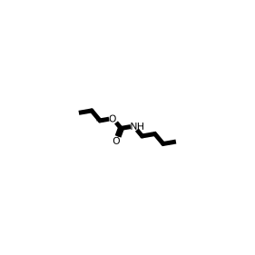 CC[CH]OC(=O)NCCCC